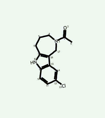 CC(=O)N1CCCc2[nH]c3ccc(Cl)cc3c2C1